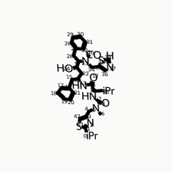 CC(C)c1nc(CN(C)C(=O)NC(C(=O)NC(Cc2ccccc2)CC(O)C(Cc2ccccc2)N(Cc2cncs2)C(=O)O)C(C)C)cs1